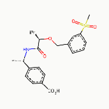 CC(C)[C@@H](OCc1cccc(S(C)(=O)=O)c1)C(=O)N[C@@H](C)c1ccc(C(=O)O)cc1